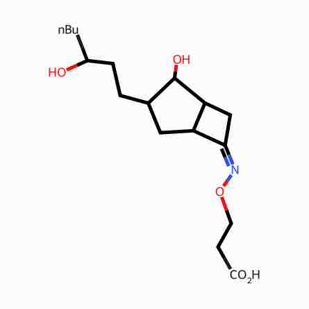 CCCCC(O)CCC1CC2C(=NOCCC(=O)O)CC2C1O